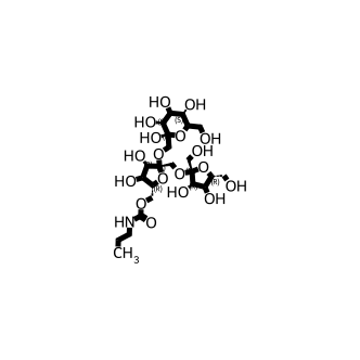 CCCNC(=O)OC[C@H]1O[C@@](CO[C@]2(CO)O[C@H](CO)C(O)[C@H]2O)(OC[C@@]2(O)OC(CO)[C@@H](O)C(O)[C@@H]2O)[C@H](O)C1O